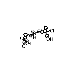 O=C(CCNc1cccc2c1CN(C1CCC(=O)NC1=O)C2=O)NCCOc1ccc(C(=C(CCCl)c2ccccc2)c2ccc(O)cc2)cc1